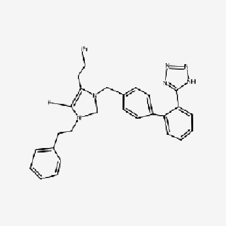 CC(C)CCC1=C(F)N(CCc2ccccc2)CN1Cc1ccc(-c2ccccc2-c2nnn[nH]2)cc1